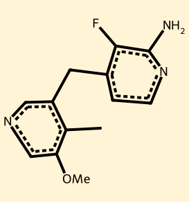 COc1cncc(Cc2ccnc(N)c2F)c1C